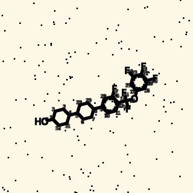 OC1CCC(C2CCC(c3ccc(C(F)(F)Oc4cc(F)c(F)c(F)c4)c(F)c3)CC2)CC1